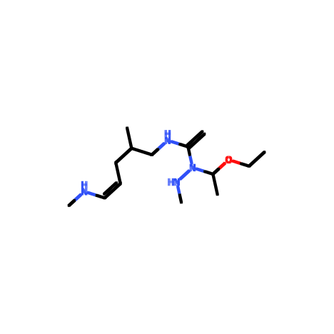 C=C(NCC(C)C/C=C\NC)N(NC)C(C)OCC